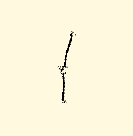 C#CC#CC#CC#CC#CC#CC#CC(=O)O[C@@H](CO)COC(=O)C#CC#CC#CC#CC#CC#CC#CC